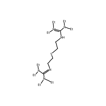 CCN(CC)C(=NCCSCCNC(N(CC)CC)=[N+](CC)CC)N(CC)CC